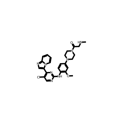 CNCC(=O)N1CCN(c2ccc(Nc3ncc(Cl)c(-c4cnc5ccccn45)n3)c(OC)c2)CC1